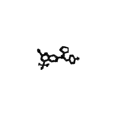 O=c1cc(C(F)(F)F)c2ccc(N(Cc3ccc(F)cc3)C3CCCC3)cc2o1